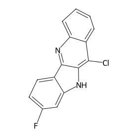 Fc1ccc2c(c1)[nH]c1c(Cl)c3ccccc3nc12